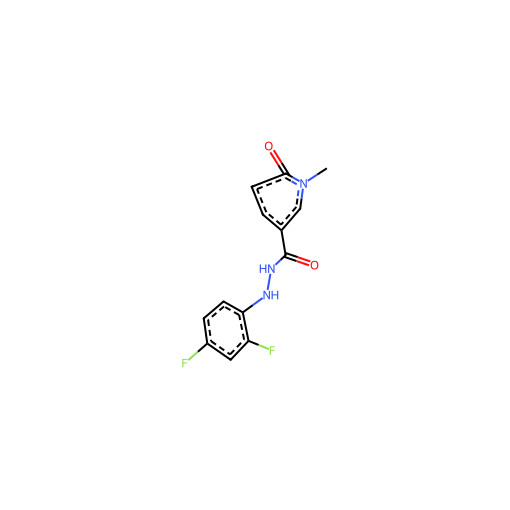 Cn1cc(C(=O)NNc2ccc(F)cc2F)ccc1=O